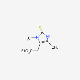 CCOC(=O)Cc1c(C)[nH]c(=S)n1C